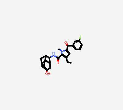 CCc1cc(C(=O)c2cccc(F)c2)n(C)c1C(=O)NC1C2CC3CC1CC(O)(C3)C2